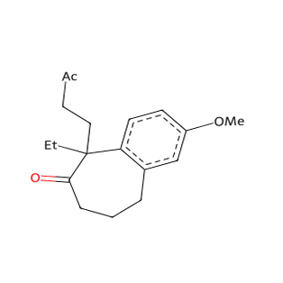 CCC1(CCC(C)=O)C(=O)CCCc2cc(OC)ccc21